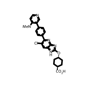 CNc1ccncc1-c1ccc(-c2nc3nc(O[C@H]4CC[C@H](C(=O)O)CC4)[nH]c3cc2Cl)cc1